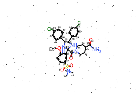 CCOc1ccc(S(=O)(=O)N(C)C)cc1C1(C(=O)N2CCC(C(N)=O)CC2)NC(c2ccc(Cl)cc2)C(c2ccc(Cl)cc2)N1